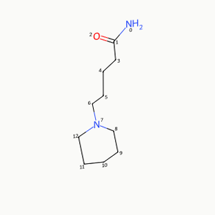 NC(=O)CCCCN1CCCCC1